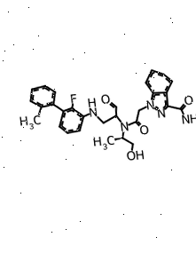 Cc1ccccc1-c1cccc(NCC(C=O)N(C(=O)Cn2nc(C(N)=O)c3ccccc32)[C@H](C)CO)c1F